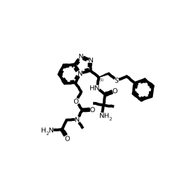 CN(CC(N)=O)C(=O)OCc1cccc2nnc([C@@H](CSCc3ccccc3)NC(=O)C(C)(C)N)n12